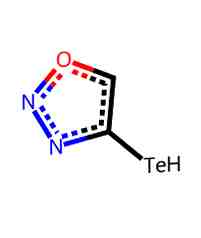 [TeH]c1conn1